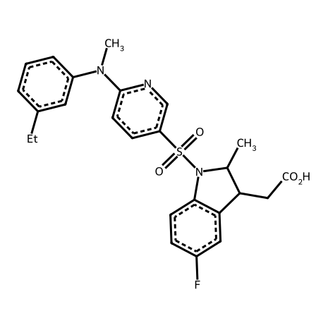 CCc1cccc(N(C)c2ccc(S(=O)(=O)N3c4ccc(F)cc4C(CC(=O)O)C3C)cn2)c1